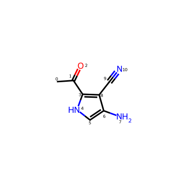 CC(=O)c1[nH]cc(N)c1C#N